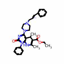 CCOC(=O)C1=C(C)Nc2c(c(N3CCN(C/C=C/c4ccccc4)CC3)nc(=O)n2-c2ccccc2)C1C